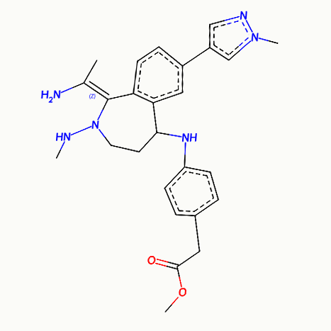 CNN1CCC(Nc2ccc(CC(=O)OC)cc2)c2cc(-c3cnn(C)c3)ccc2/C1=C(\C)N